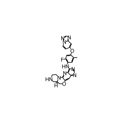 Cc1cc(Nc2ncnc3cc4c(nc23)N2CCNC[C@H]2CO4)c(F)cc1Oc1ccn2ncnc2c1